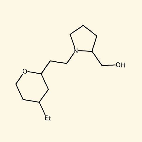 CCC1CCOC(CCN2CCCC2CO)C1